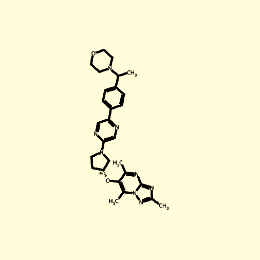 Cc1nc2nc(C)c(O[C@@H]3CCN(c4cnc(-c5ccc(C(C)N6CCOCC6)cc5)cn4)C3)c(C)n2n1